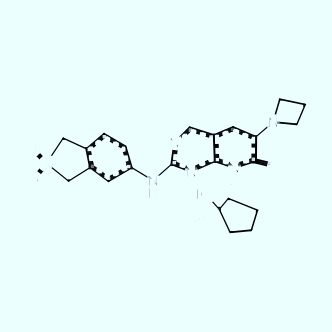 C[C@@]1(O)CCC[C@H]1n1c(=O)c(N2CCC2)cc2cnc(Nc3ccc4c(c3)CS(=O)(=O)C4)nc21